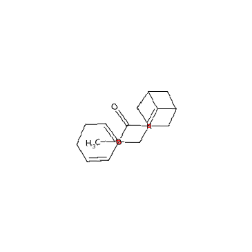 COC(=O)C=C1C2CC1CN(CC1=CCCC=C1)C2